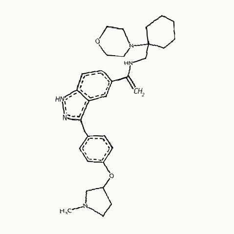 C=C(NCC1(N2CCOCC2)CCCCC1)c1ccc2[nH]nc(-c3ccc(OC4CCN(C)C4)cc3)c2c1